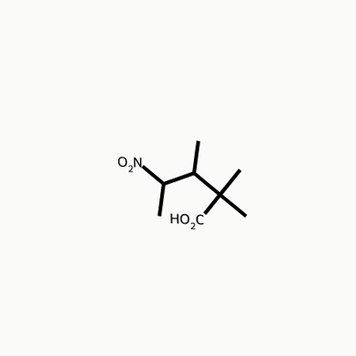 CC(C(C)C(C)(C)C(=O)O)[N+](=O)[O-]